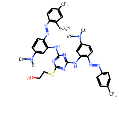 CCN(CC)c1ccc(/N=N/c2ccc(C(F)(F)F)cc2)c(Nc2nc(Nc3cc(N(CC)CC)ccc3/N=N/c3ccc(C(F)(F)F)cc3S(=O)(=O)O)nc(SCCO)n2)c1